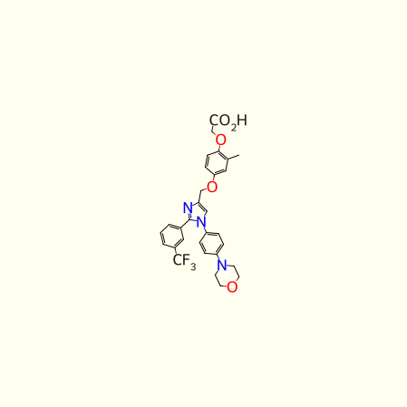 Cc1cc(OCc2cn(-c3ccc(N4CCOCC4)cc3)c(-c3cccc(C(F)(F)F)c3)n2)ccc1OCC(=O)O